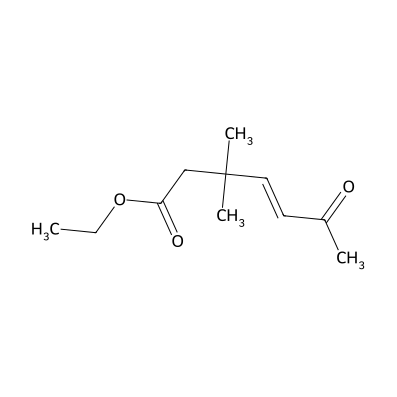 CCOC(=O)CC(C)(C)/C=C/C(C)=O